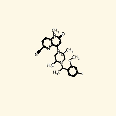 COc1cc(F)ccc1C(C)N1C[C@H](C)N(c2cc(=O)n(C)c3ccc(C#N)nc23)CC1C